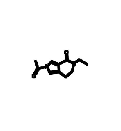 CCN1CCc2cn(C(C)=O)cc2C1=O